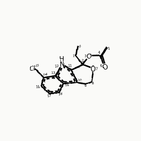 CCC1(OC(C)=O)OCCc2c1[nH]c1c(Cl)cccc21